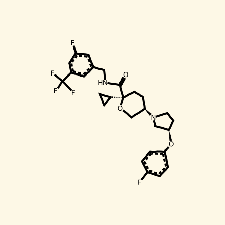 O=C(NCc1cc(F)cc(C(F)(F)F)c1)[C@@]1(C2CC2)CC[C@@H](N2CC[C@@H](Oc3ccc(F)cc3)C2)CO1